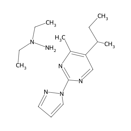 CCC(C)c1cnc(-n2cccn2)nc1C.CCN(N)CC